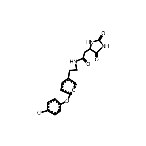 O=C(CC1NC(=O)NC1=O)NCCc1ccc(Oc2ccc(Cl)cc2)cc1